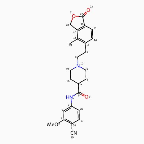 COc1cc(NC(=O)C2CCN(CCc3ccc4c(c3C)COC4=O)CC2)ccc1C#N